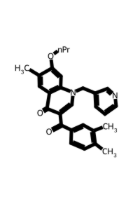 CCCOc1cc2c(cc1C)c(=O)c(C(=O)c1ccc(C)c(C)c1)cn2Cc1cccnc1